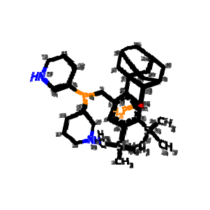 C[Si](C)(C)c1cc(CP(C2CCCNC2)C2CCCNC2)c(C23CC4CC(CC(C4)C2CP)C3)cc1[Si](C)(C)C